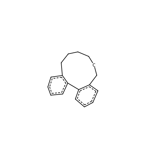 c1ccc2c(c1)CCCCCCc1ccccc1-2